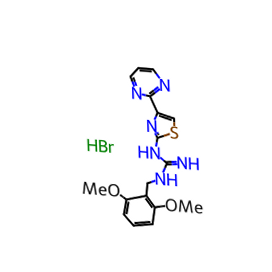 Br.COc1cccc(OC)c1CNC(=N)Nc1nc(-c2ncccn2)cs1